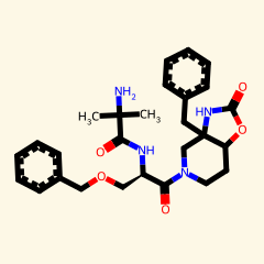 CC(C)(N)C(=O)N[C@H](COCc1ccccc1)C(=O)N1CCC2OC(=O)NC2(Cc2ccccc2)C1